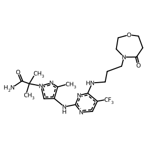 Cc1nn(C(C)(C)C(N)=O)cc1Nc1ncc(C(F)(F)F)c(NCCCN2CCOCCC2=O)n1